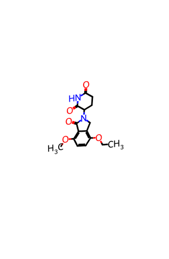 CCOc1ccc(OC)c2c1CN(C1CCC(=O)NC1=O)C2=O